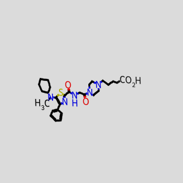 CN(c1sc(C(=O)NCC(=O)N2CCN(CCCCC(=O)O)CC2)nc1-c1ccccc1)C1CCCCC1